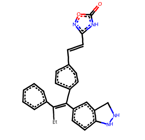 CC/C(=C(/c1ccc(/C=C/c2noc(=O)[nH]2)cc1)c1ccc2c(c1)CNN2)c1ccccc1